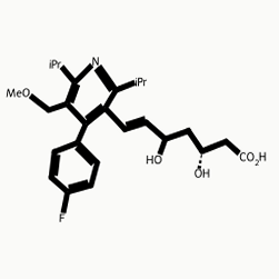 COCc1c(C(C)C)nc(C(C)C)c(/C=C/C(O)C[C@@H](O)CC(=O)O)c1-c1ccc(F)cc1